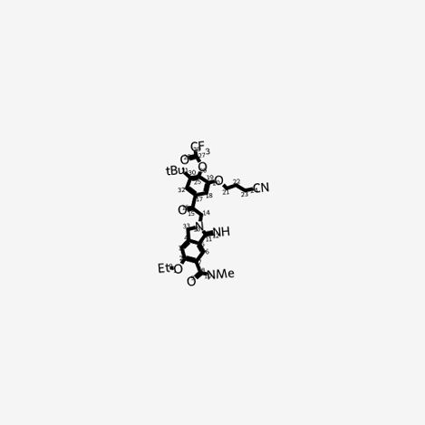 CCOc1cc2c(cc1C(=O)NC)C(=N)N(CC(=O)c1cc(OCCCC#N)c(OC(=O)C(F)(F)F)c(C(C)(C)C)c1)C2